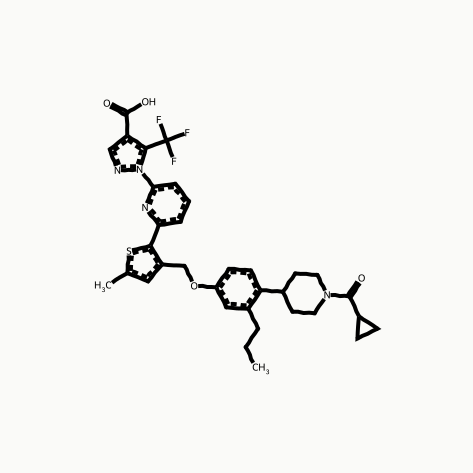 CCCc1cc(OCc2cc(C)sc2-c2cccc(-n3ncc(C(=O)O)c3C(F)(F)F)n2)ccc1C1CCN(C(=O)C2CC2)CC1